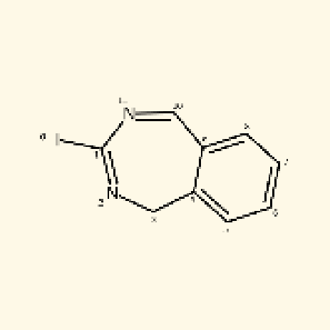 IC1=NCc2ccccc2C=N1